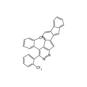 FC(F)(F)c1ccccc1-c1nnc2c(c1-c1ccccc1C(F)(F)F)-c1ccc3c(c1=C2)=Cc1ccccc1-3